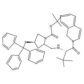 CC(C)(C)OC(=O)N1C[C@H](SC(c2ccccc2)(c2ccccc2)c2ccccc2)CC1CN[C@H](C(=O)N1C=Cc2ccccc2C1)C(C)(C)C